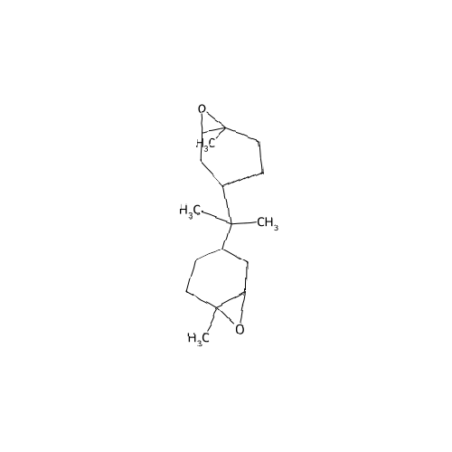 CC12CCC(C(C)(C)C3CCC4(C)OC4C3)CC1O2